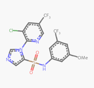 COc1cc(NS(=O)(=O)c2cncn2-c2ncc(C(F)(F)F)cc2Cl)cc(C(F)(F)F)c1